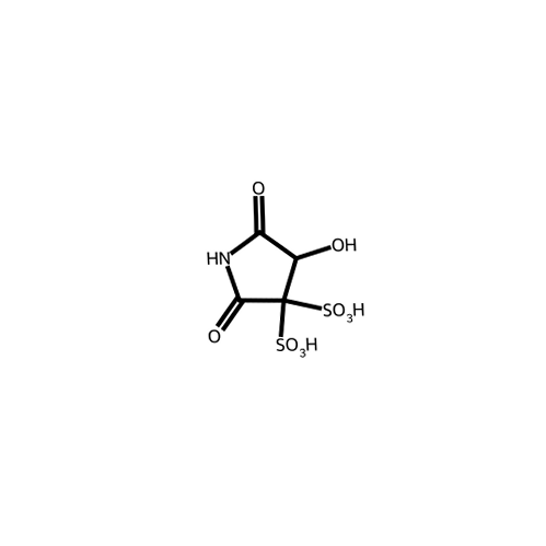 O=C1NC(=O)C(S(=O)(=O)O)(S(=O)(=O)O)C1O